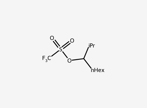 CCCCCCC(OS(=O)(=O)C(F)(F)F)C(C)C